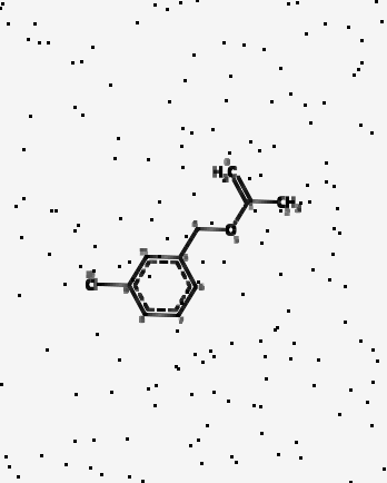 C=C(C)OCc1cccc(Cl)c1